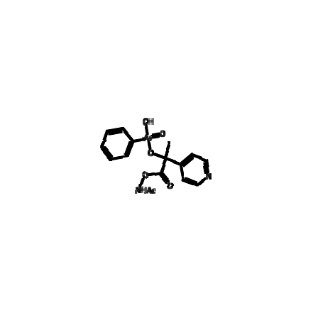 CC(=O)NOC(=O)C(C)(O[As](=O)(O)c1ccccc1)c1ccncc1